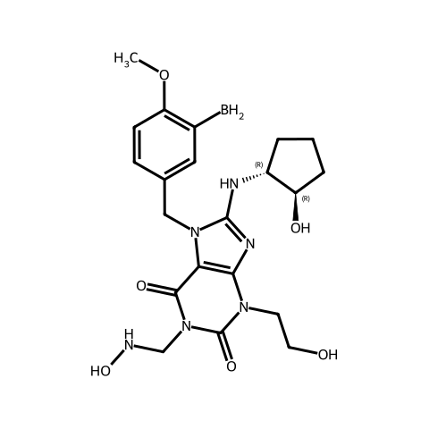 Bc1cc(Cn2c(N[C@@H]3CCC[C@H]3O)nc3c2c(=O)n(CNO)c(=O)n3CCO)ccc1OC